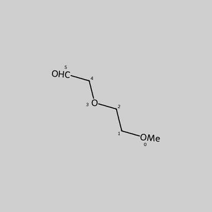 COCCOCC=O